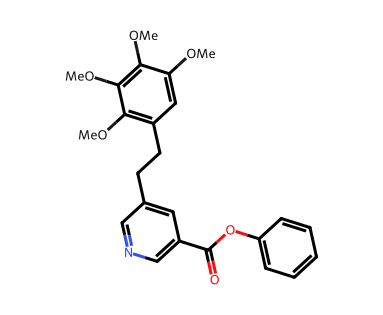 COc1cc(CCc2cncc(C(=O)Oc3ccccc3)c2)c(OC)c(OC)c1OC